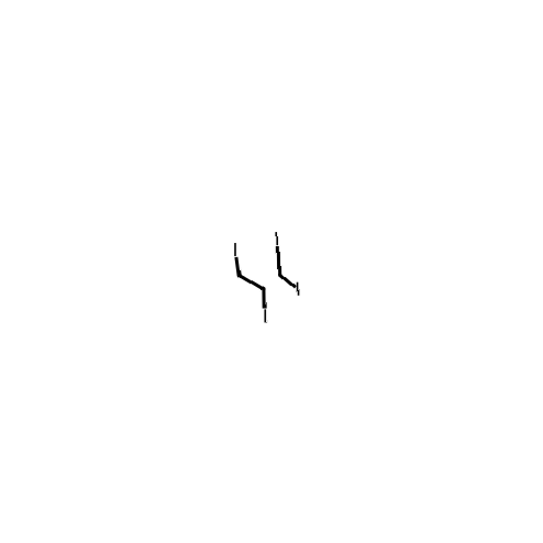 ICCI.ICI